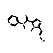 CN(C(=O)c1cnc(C=NO)n1C)c1cccnc1